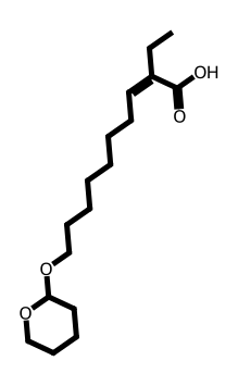 CCC(=CCCCCCCCOC1CCCCO1)C(=O)O